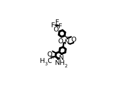 C[C@@H]1OCc2c1c(N)nc1ccc(C(=O)N3CCOC[C@@H]3c3ccc(OC(F)(F)F)cc3)cc21